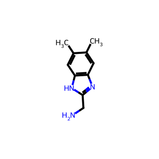 Cc1cc2nc(CN)[nH]c2cc1C